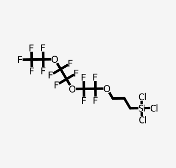 FC(F)(F)C(F)(F)OC(F)(F)C(F)(F)OC(F)(F)C(F)(F)OCCC[Si](Cl)(Cl)Cl